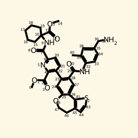 COC(=O)c1nc(C(=O)NC2(C(=O)OC)CCCCC2)ccc1-c1cc2c(cc1C(=O)Nc1ccc(CN)cc1C)-c1sccc1CCO2